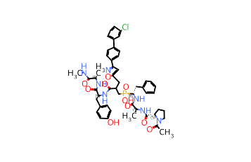 CNC(=O)[C@H](C)NC(=O)[C@H](Cc1ccc(O)cc1)NC(=O)C(Cc1cc(-c2ccc(-c3cccc(Cl)c3)cc2)no1)CP(=O)(O)[C@H](Cc1ccccc1)NC(=O)[C@H](C)NC(=O)[C@@H]1CCCN1C(C)=O